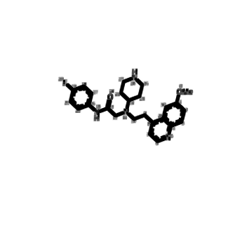 COc1ccc2nccc(CCN(CC(=O)Nc3ccc(F)cc3)C3CCNCC3)c2c1